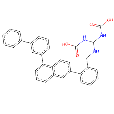 O=C(O)NC(NCc1ccccc1-c1ccc2c(-c3cccc(-c4ccccc4)c3)cccc2c1)NC(=O)O